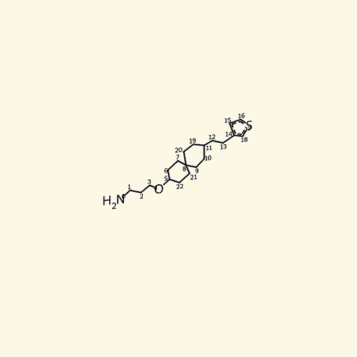 NCCCOC1CCC2(CCC(CCc3ccsc3)CC2)CC1